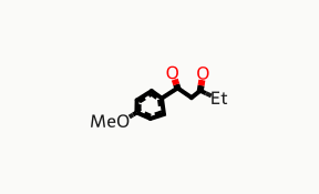 CCC(=O)CC(=O)c1ccc(OC)cc1